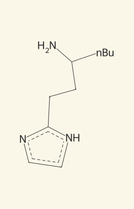 CCCCC(N)CCc1ncc[nH]1